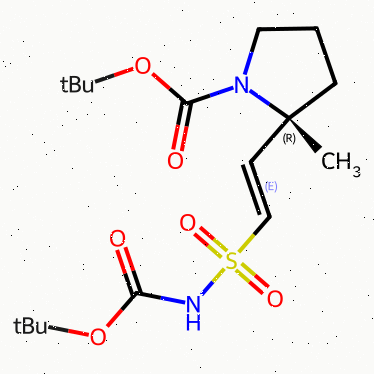 CC(C)(C)OC(=O)NS(=O)(=O)/C=C/[C@@]1(C)CCCN1C(=O)OC(C)(C)C